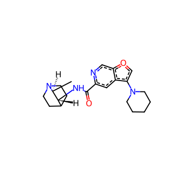 C[C@H]1[C@H](NC(=O)c2cc3c(N4CCCCC4)coc3cn2)C2CCN1CC2